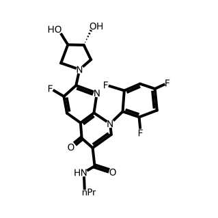 CCCNC(=O)c1cn(-c2c(F)cc(F)cc2F)c2nc(N3CC(O)[C@H](O)C3)c(F)cc2c1=O